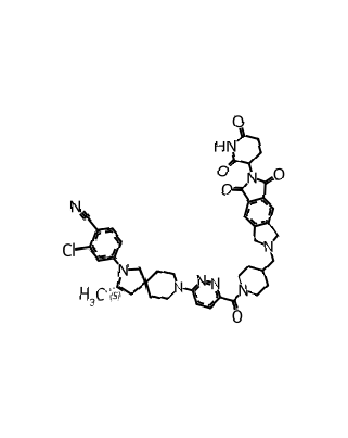 C[C@H]1CC2(CCN(c3ccc(C(=O)N4CCC(CN5Cc6cc7c(cc6C5)C(=O)N(C5CCC(=O)NC5=O)C7=O)CC4)nn3)CC2)CN1c1ccc(C#N)c(Cl)c1